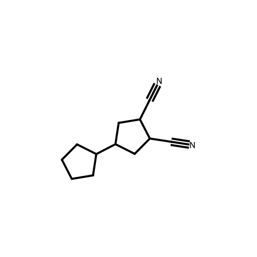 N#CC1CC(C2CCCC2)CC1C#N